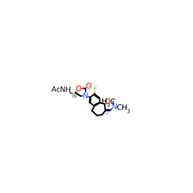 CC(=O)NC[C@H]1CN(c2cc3c(cc2F)C(=O)/C(=C\N(C)C)CCC3)C(=O)O1